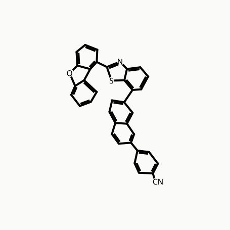 N#Cc1ccc(-c2ccc3ccc(-c4cccc5nc(-c6cccc7oc8ccccc8c67)sc45)cc3c2)cc1